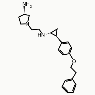 N[C@@H]1CCN(CCN[C@@H]2C[C@H]2c2ccc(OCCc3ccccc3)cc2)C1